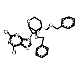 Clc1nc(Cl)c2ncn([C@@H]3O[C@]4(COCc5ccccc5)CCOC3C4OCc3ccccc3)c2n1